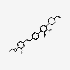 C=CC1CCC(c2ccc(-c3ccc(/C=C/c4ccc(OCC)c(F)c4)cc3)c(F)c2F)CC1